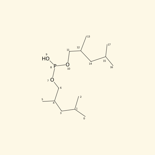 CC(C)CC(C)COP(O)OCC(C)CC(C)C